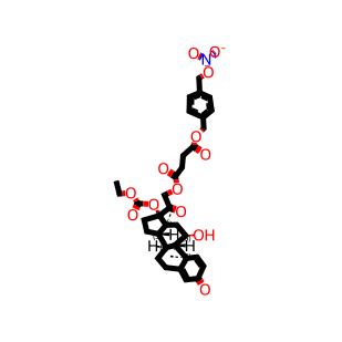 CCOC(=O)O[C@]1(C(=O)COC(=O)CCC(=O)OCc2ccc(CO[N+](=O)[O-])cc2)CC[C@H]2[C@@H]3CCC4=CC(=O)C=C[C@]4(C)[C@H]3[C@@H](O)C[C@@]21C